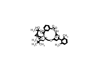 Cc1cccc(C)c1-c1cc2nc(n1)NS(=O)(=O)c1cccc(c1)C(=O)N([C@H]1C[C@]13CC3C(C)(C)O)[C@H](CCC(C)(C)C)CO2